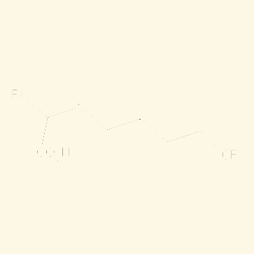 CCC(SCCCCC(F)(F)F)C(=O)O